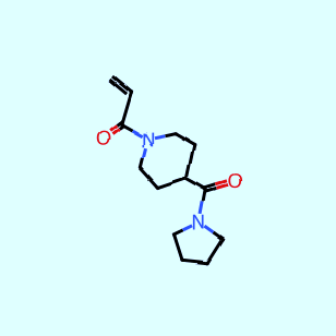 C=CC(=O)N1CCC(C(=O)N2CCCC2)CC1